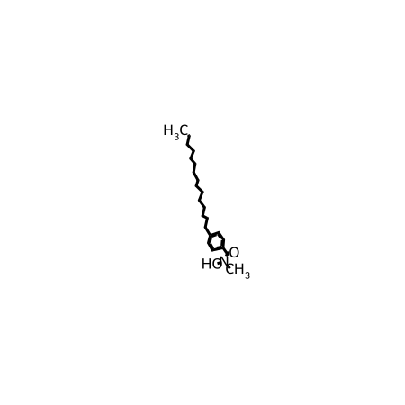 CCCCCCCCCCCCCCCc1ccc(C(=O)N(C)O)cc1